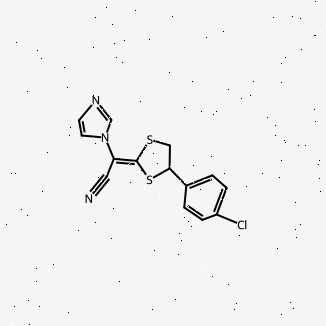 N#C/C(=C1/SCC(c2ccc(Cl)cc2)S1)n1ccnc1